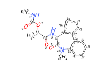 CCCNC(=O)O[C@@H](C)C(=O)NC1C(=O)N(C)c2ccccc2-c2ccccc21